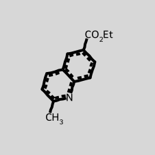 CCOC(=O)c1ccc2nc(C)ccc2c1